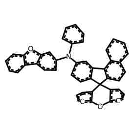 c1ccc(N(c2ccc3c(c2)-c2c(ccc4ccccc24)C32c3ccccc3Oc3ccccc32)c2ccc3c(c2)oc2ccccc23)cc1